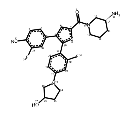 N#Cc1ccc(-c2cc(C(=O)N3CCC[C@@H](N)C3)sc2-c2ccc(N3CCC(O)C3)cc2F)cc1F